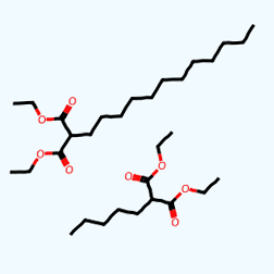 CCCCCC(C(=O)OCC)C(=O)OCC.CCCCCCCCCCCCC(C(=O)OCC)C(=O)OCC